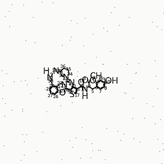 COC(=O)C(Cc1ccc(O)cc1)NC(=O)c1csc2c(=O)n(Cc3ccccc3C#N)c(N3CCC[C@@H](N)C3)nc12